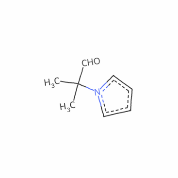 CC(C)(C=O)n1cccc1